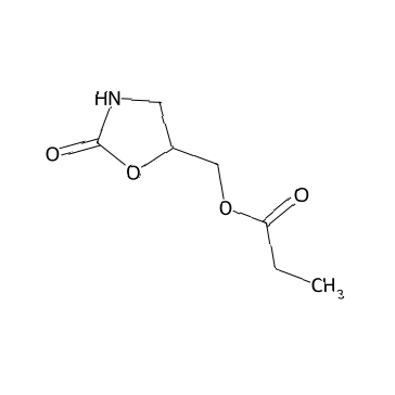 CCC(=O)OCC1CNC(=O)O1